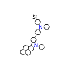 C[Si](C)(C)c1ccc(N(c2ccccc2)c2ccc(-c3ccc4c5c6ccc7cccc8ccc(cc5n(-c5ccccc5)c4c3)c6c87)cc2)cc1